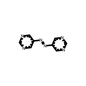 c1ncc(N=Nc2cncnc2)cn1